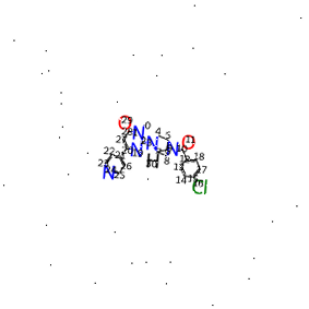 Cn1c(N2CC3C[C@H]2CN3C(=O)c2ccc(Cl)cc2)nc(-c2ccncc2)cc1=O